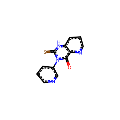 O=c1c2ncccc2[nH]c(=S)n1-c1cccnc1